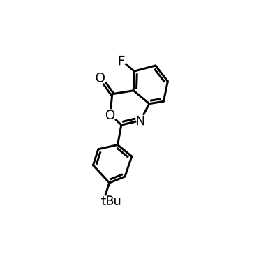 CC(C)(C)c1ccc(-c2nc3cccc(F)c3c(=O)o2)cc1